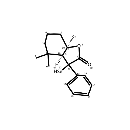 CC1(C)CCC[C@@]2(C)OC(=O)C([SeH])(c3ccccc3)[C@@H]12